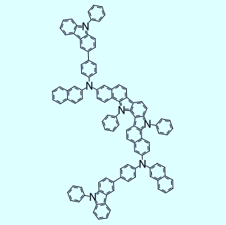 c1ccc(-n2c3ccccc3c3cc(-c4ccc(N(c5ccc6ccccc6c5)c5ccc6c(ccc7c8c(ccc9c%10ccc%11cc(N(c%12ccc(-c%13ccc%14c(c%13)c%13ccccc%13n%14-c%13ccccc%13)cc%12)c%12ccc%13ccccc%13c%12)ccc%11c%10n(-c%10ccccc%10)c98)n(-c8ccccc8)c67)c5)cc4)ccc32)cc1